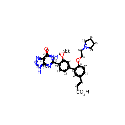 CCOc1cc(-c2cc(C=CC(=O)O)ccc2OCCN2CCCC2)ccc1-c1nc2[nH]nnc2c(=O)[nH]1